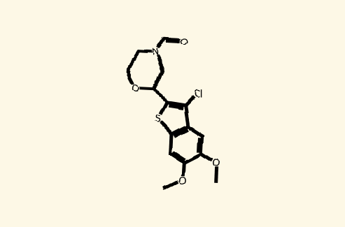 COc1cc2sc(C3CN(C=O)CCO3)c(Cl)c2cc1OC